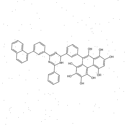 Oc1cc(O)c2c(c1O)c(O)c(-c1cccc(C3N=C(c4cccc(-c5cccc6ccccc56)c4)N=C(c4ccccc4)N3)c1)c1c(O)c(O)c(O)c(O)c12